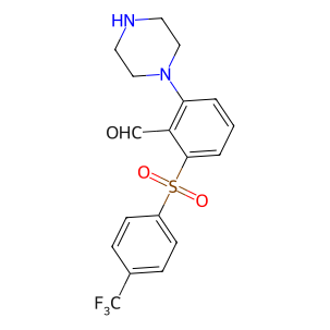 O=Cc1c(N2CCNCC2)cccc1S(=O)(=O)c1ccc(C(F)(F)F)cc1